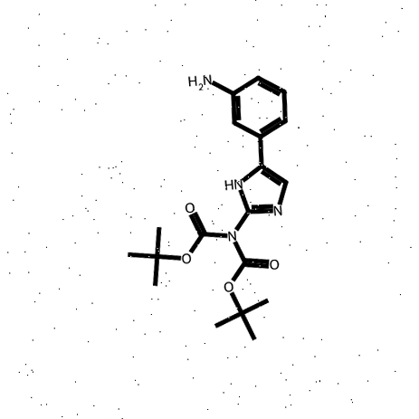 CC(C)(C)OC(=O)N(C(=O)OC(C)(C)C)c1ncc(-c2cccc(N)c2)[nH]1